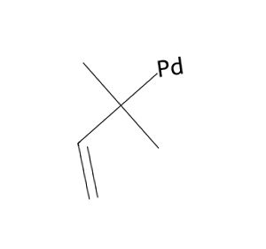 C=C[C](C)(C)[Pd]